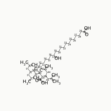 CC(C)CC(CC(C)C)C(CCCCCCCC(O)CCCCCCCCCCCC(=O)O)CCC(C(=O)O)C(CC(C)C)CC(C)C